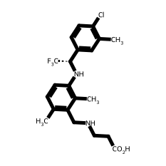 Cc1cc([C@H](Nc2ccc(C)c(CNCCC(=O)O)c2C)C(F)(F)F)ccc1Cl